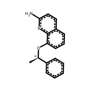 C[C@@H](Oc1cccc2ccc(N)nc12)c1ccccc1